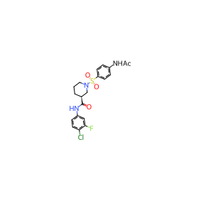 CC(=O)Nc1ccc(S(=O)(=O)N2CCC[C@H](C(=O)Nc3ccc(Cl)c(F)c3)C2)cc1